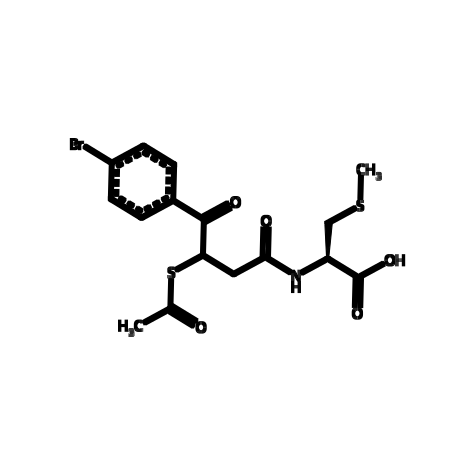 CSC[C@H](NC(=O)CC(SC(C)=O)C(=O)c1ccc(Br)cc1)C(=O)O